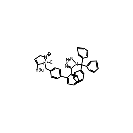 CCCCC1=CC[N+](=O)[N+]1(Cl)Cc1ccc(-c2ccccc2-c2nnnn2C(c2ccccc2)(c2ccccc2)c2ccccc2)cc1